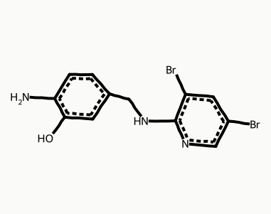 Nc1ccc(CNc2ncc(Br)cc2Br)cc1O